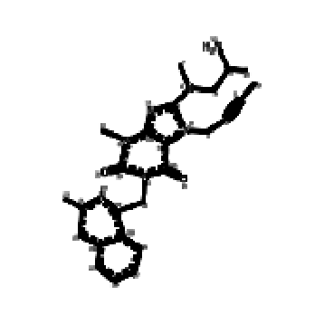 CC#CCn1c(N(C)CC(C)N)nc2c1c(=O)n(Cc1nc(C)cc3ccccc13)c(=O)n2C